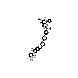 CC(=O)c1c(C)c2cnc(Nc3ccc(N4CCC(N5CCN(Cc6cc7c(cc6F)C(=O)N(C6CCC(=O)NC6=O)C7)CC5)CC4)cn3)nc2n(C2CCCC2)c1=O